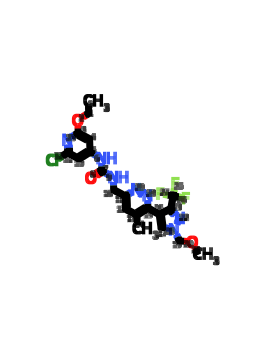 CCOc1cc(NC(=O)NCc2cc(C)c(-c3cn(COC)nc3C(F)(F)F)nn2)cc(Cl)n1